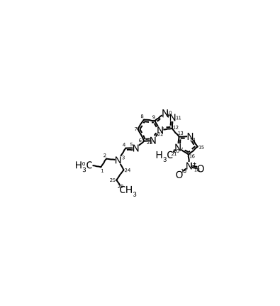 CCCN(C=Nc1ccc2nnc(-c3ncc([N+](=O)[O-])n3C)n2n1)CCC